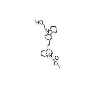 CCOC(=O)CN1C=CC(/C=C/c2ccc3c(c2)c2ccccc2n3CCO)=C2C=CC=CC21C